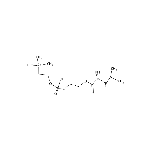 CC(C)PC(=N)C(=O)OCCOP(=O)(O)OCC[N+](C)(C)C